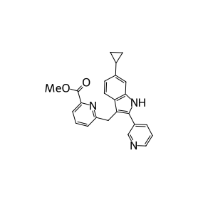 COC(=O)c1cccc(Cc2c(-c3cccnc3)[nH]c3cc(C4CC4)ccc23)n1